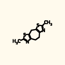 Cc1nc2c(s1)Cc1sc(C)nc1CC2